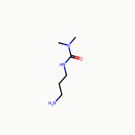 CN(C)C(=O)NCCCN